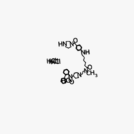 CN(CCN1CCC(N(C(=O)O)c2ccccc2-c2ccccc2)CC1)C(=O)CCCCCNc1ccc(C(=O)N2CCCNCC2)cc1.Cl.Cl.Cl